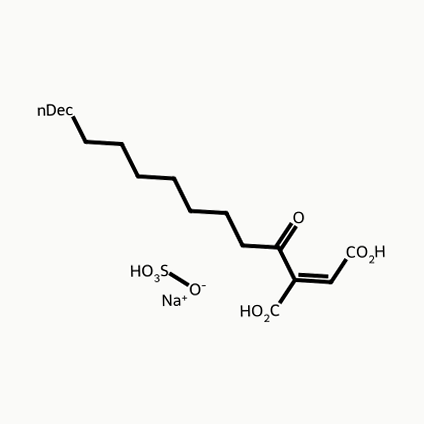 CCCCCCCCCCCCCCCCCC(=O)/C(=C\C(=O)O)C(=O)O.O=S(=O)([O-])O.[Na+]